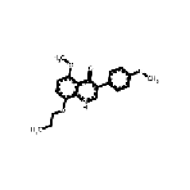 CCCOc1ccc(OC)c2c(=O)c(-c3ccc(OC)cc3)c[nH]c12